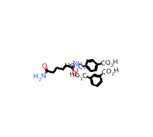 NC(=O)CCCCC(N)=O.O=C(O)c1ccc(C(=O)O)cc1.O=C(O)c1cccc(C(=O)O)c1